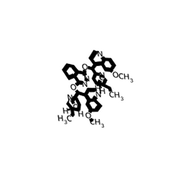 CC[C@@H]1C[N@@]2CC[C@@H]1CC2C(Oc1nnc(OC(c2ccnc3ccc(OC)cc23)C2C[C@@H]3CC[N@]2C[C@@H]3CC)c2ccccc12)c1ccnc2ccc(OC)cc12